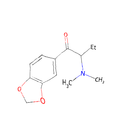 CCC(C(=O)c1ccc2c(c1)OCO2)N(C)C